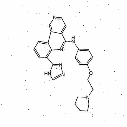 c1cc(-c2nnc[nH]2)c2nc(Nc3ccc(OCCN4CCCCC4)cc3)c3ccncc3c2c1